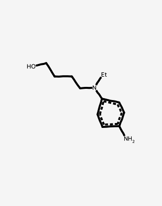 CCN(CCCCO)c1ccc(N)cc1